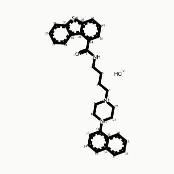 Cl.O=C(NCCCCN1CCN(c2cccc3ccccc23)CC1)c1cccc2sc3ccccc3c12